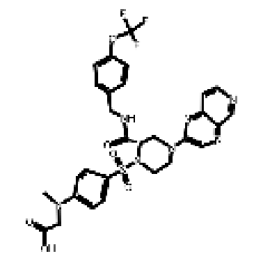 CN(CC(=O)O)c1ccc(S(=O)(=O)N2CCN(c3cnc4cnccc4n3)C[C@@H]2C(=O)NCc2ccc(OC(F)(F)F)cc2)cc1